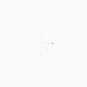 CCOC(=O)[C@H]1[C@@H](NC(=O)/C(=N\OC)c2csc(NC(=O)CCl)n2)C(=O)N1S(=O)(=O)[O-].[Na+]